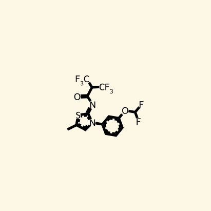 Cc1cn(-c2cccc(OC(F)F)c2)c(=NC(=O)C(C(F)(F)F)C(F)(F)F)s1